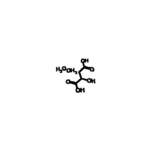 O.O.O=C(O)CC(O)C(=O)O